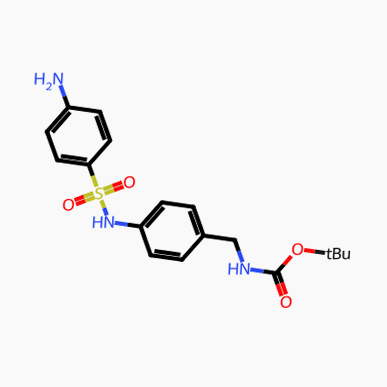 CC(C)(C)OC(=O)NCc1ccc(NS(=O)(=O)c2ccc(N)cc2)cc1